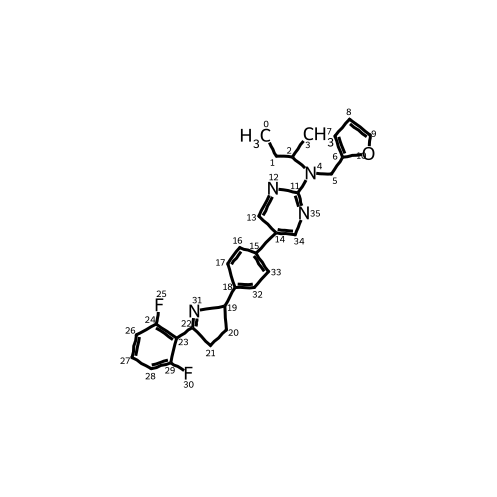 CCC(C)N(Cc1ccco1)c1ncc(-c2ccc(C3CCC(c4c(F)cccc4F)=N3)cc2)cn1